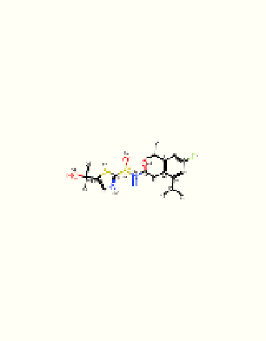 CC(C)c1cc(F)cc(C(C)C)c1CC(=O)N[S+]([O-])c1ncc(C(C)(C)O)s1